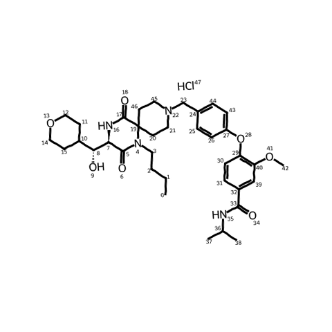 CCCCN1C(=O)[C@@H]([C@H](O)C2CCOCC2)NC(=O)C12CCN(Cc1ccc(Oc3ccc(C(=O)NC(C)C)cc3OC)cc1)CC2.Cl